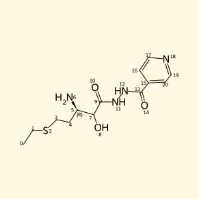 CCSCC[C@@H](N)C(O)C(=O)NNC(=O)c1ccncc1